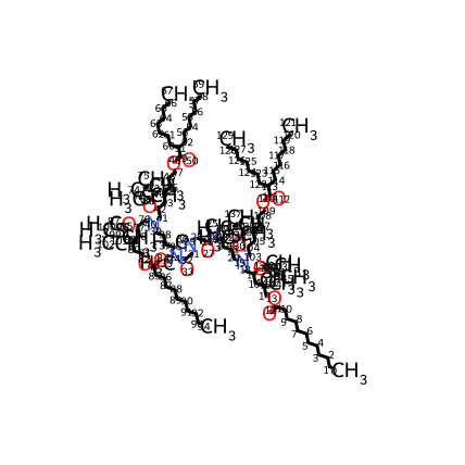 CCCCCCCCCCCC(=O)OCCCC(CN(CCCCN(C)C(=O)CN(C)CC(=O)N(C)CCCCN(CC(CCCCCOC(=O)C(CCCCCCCC)CCCCCCCC)O[Si](C)(C)C(C)(C)C)CC(CCCCOC(=O)CCCCCCCCCC)O[Si](C)(C)C(C)(C)C)CC(CCCCCOC(=O)C(CCCCCCCC)CCCCCCCC)O[Si](C)(C)C(C)(C)C)O[Si](C)(C)C(C)(C)C